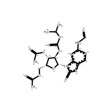 CC(=O)OC[C@H]1O[C@@H](n2c(=O)sc3cnc(NC=O)nc32)[C@H](OC(=O)OC(C)C)[C@H]1OC(C)=O